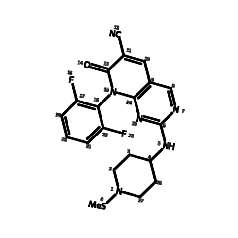 CSN1CCC(Nc2ncc3cc(C#N)c(=O)n(-c4c(F)cccc4F)c3n2)CC1